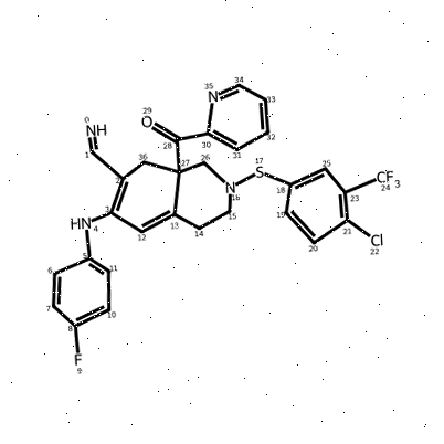 N=CC1=C(Nc2ccc(F)cc2)C=C2CCN(Sc3ccc(Cl)c(C(F)(F)F)c3)CC2(C(=O)c2ccccn2)C1